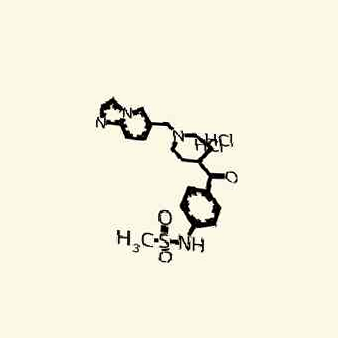 CS(=O)(=O)Nc1ccc(C(=O)C2CCN(Cc3ccc4nccn4c3)CC2)cc1.Cl.Cl